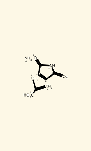 C=C(C)C(=O)O.N.O=C1C=CC(=O)N1